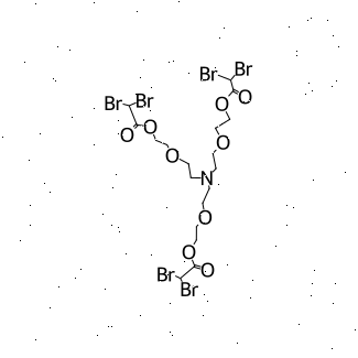 O=C(OCCOCCN(CCOCCOC(=O)C(Br)Br)CCOCCOC(=O)C(Br)Br)C(Br)Br